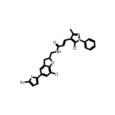 CC(=O)c1ccc(-c2cc(Cl)c3c(c2)CC(CNC(=O)C=Cc2c(C)nn(-c4ccccc4)c2Cl)O3)s1